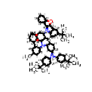 Cc1ccc(N2c3cc(N(c4ccc(C(C)(C)C)cc4)c4ccc(C(C)(C)C)cc4)ccc3B3c4c2cc(C)cc4-n2c4c3cc(C(C)(C)C)cc4c3oc4ccccc4c32)c(-c2ccccc2)c1